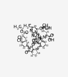 CCOC(=O)/C(Cl)=C/c1cc(N2C(=O)C3=C(CCCC3)C2=O)ccc1Cl.CP(=O)(O)CCC(N)C(=O)O.Cc1ccn2nc(S(=O)(=O)Nc3c(F)cccc3F)nc2n1